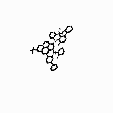 Cc1ccccc1N(c1cc(-c2ccccc2)ccc1C)c1cc(N(c2cc(-c3ccccc3)ccc2C)c2ccccc2C(F)(F)F)c2ccc3cc(C(C)(C)C)cc4ccc1c2c43